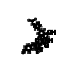 CC(C)Cn1cc(-c2ccc3c(c2)C(O)CC32NC(=O)N(CC(=O)N(Cc3ccc(F)cc3)[C@@H](C)C(F)(F)F)C2=O)cn1